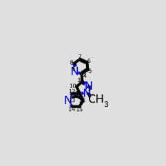 CN1N=C(c2ccccn2)CC12CN1CCC2CC1